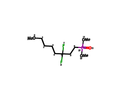 COCCCCC(F)(F)CCP(=O)(OC)OC